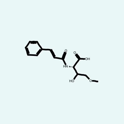 COCC(O)[C@H](NC(=O)/C=C/c1ccccc1)C(=O)O